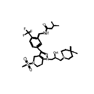 CC(C)CC(=O)NCc1cc(-c2nn(CC(O)CN3CCC(C)(C)CC3)c3c2CN(S(C)(=O)=O)CC3)ccc1C(F)(F)F